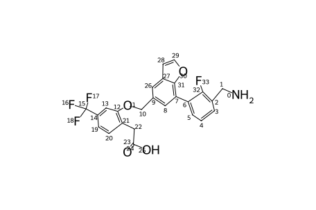 NCc1cccc(-c2cc(COc3cc(C(F)(F)F)ccc3CC(=O)O)cc3ccoc23)c1F